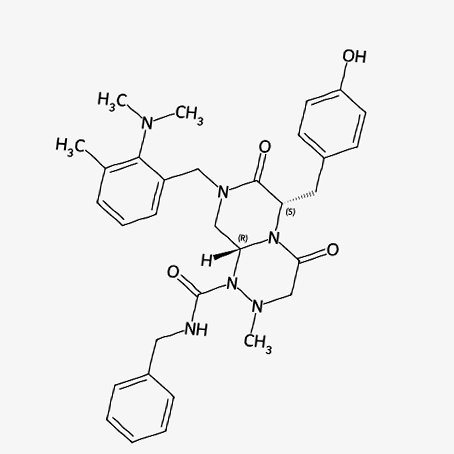 Cc1cccc(CN2C[C@@H]3N(C(=O)CN(C)N3C(=O)NCc3ccccc3)[C@@H](Cc3ccc(O)cc3)C2=O)c1N(C)C